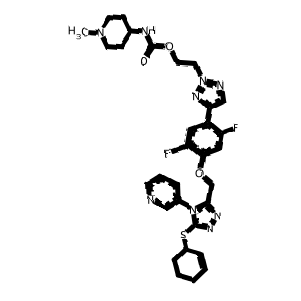 CN1CCC(NC(=O)OCCn2ncc(-c3cc(F)c(OCc4nnc(SC5C=CCCC5)n4-c4cccnc4)cc3F)n2)CC1